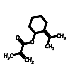 C=C(C)C(=O)OC1CCCCC1=C(C)C